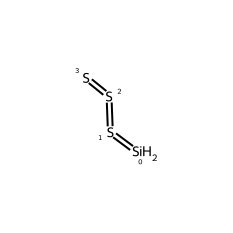 [SiH2]=S=S=S